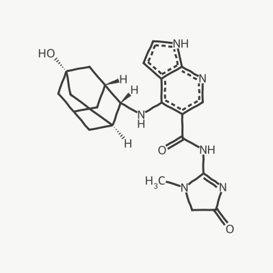 CN1CC(=O)N=C1NC(=O)c1cnc2[nH]ccc2c1N[C@H]1[C@@H]2CC3C[C@H]1C[C@@](O)(C3)C2